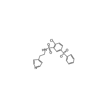 O=S(=O)(NCCc1ccncc1)c1cc(S(=O)(=O)c2ccccc2)ccc1Cl